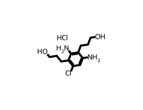 Cl.Nc1cc(Cl)c(CCCO)c(N)c1CCCO